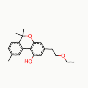 CCOCCc1cc(O)c2c(c1)OC(C)(C)c1ccc(C)cc1-2